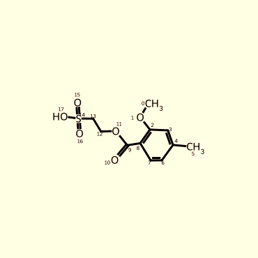 COc1cc(C)ccc1C(=O)OCCS(=O)(=O)O